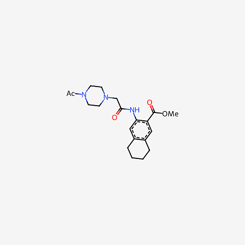 COC(=O)c1cc2c(cc1NC(=O)CN1CCN(C(C)=O)CC1)CCCC2